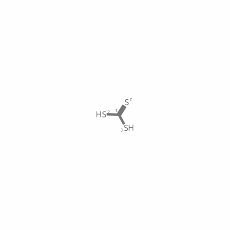 S=C(S)S